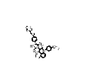 COCCOc1ccc([C@H]2NC(=O)N(C(C(=O)Nc3ccc(C)cc3)[C@@H](C)c3ccccc3)C2=O)cc1